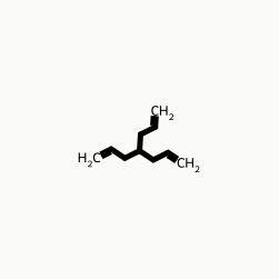 C=CC[C](CC=C)CC=C